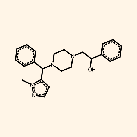 Cn1nccc1C(c1ccccc1)N1CCN(CC(O)c2ccccc2)CC1